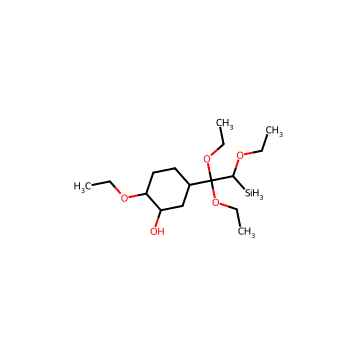 CCOC1CCC(C(OCC)(OCC)C([SiH3])OCC)CC1O